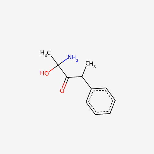 CC(C(=O)C(C)(N)O)c1ccccc1